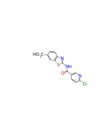 O=C(O)c1ccc2nc(NC(=O)c3ccc(Cl)nc3)sc2c1